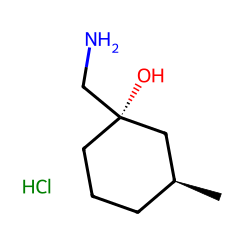 C[C@H]1CCC[C@@](O)(CN)C1.Cl